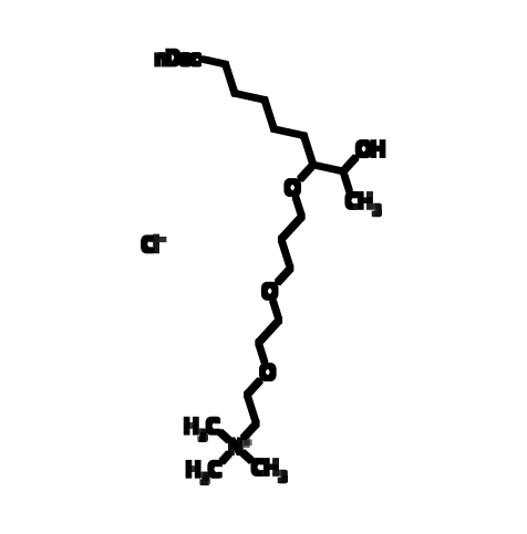 CCCCCCCCCCCCCCCC(OCCCOCCOCC[N+](C)(C)C)C(C)O.[Cl-]